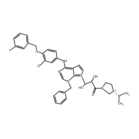 CN(C)[C@H]1CCN(C(=O)C(O)C(O)S2=C3C(=C(Nc4ccc(OCc5cccc(F)c5)c(Cl)c4)N=CN3Cc3ccccc3)C=C2)C1